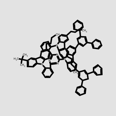 CCCCc1ccc2c(c1)c1cc(CCCC)ccc1n2-c1ccccc1-c1nc(-c2ccccc2-n2c3ccc(CCCC)cc3c3cc(C(C)(C)C)ccc32)nc(-n2c3ccc(C4=CC(c5ccccc5)CC(c5ccccc5)=C4)cc3c3cc(-c4cc(-c5ccccc5)cc(-c5ccccc5)c4)ccc32)n1